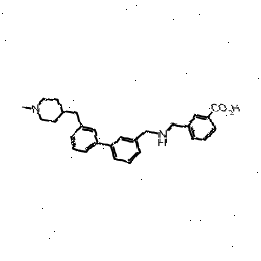 CN1CCC(Cc2cccc(-c3cccc(CNCc4cccc(C(=O)O)c4)c3)c2)CC1